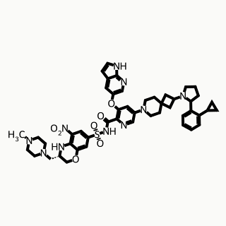 CN1CCN(C[C@H]2COc3cc(S(=O)(=O)NC(=O)c4ncc(N5CCC6(CC5)CC(N5CCCC5c5ccccc5C5CC5)C6)cc4Oc4cnc5[nH]ccc5c4)cc([N+](=O)[O-])c3N2)CC1